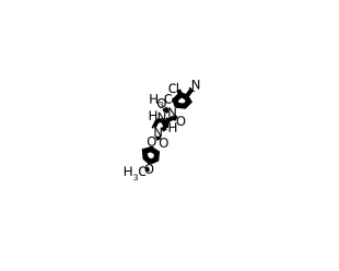 COc1ccc(OC(=O)N2C[C@H]3CC2[C@H]2C(=O)N(c4ccc(C#N)c(Cl)c4C)C(=O)N32)cc1